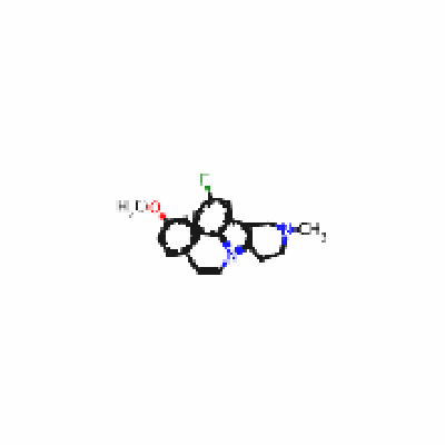 COc1ccc(/C=C\n2c3c(c4cc(F)ccc42)CN(C)CC3)cc1